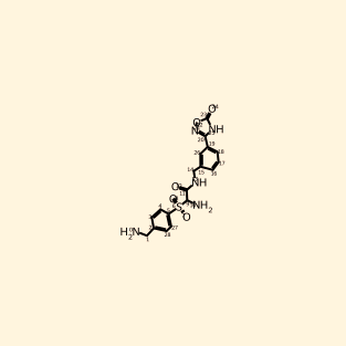 NCc1ccc(S(=O)(=O)C(N)C(=O)NCc2cccc(-c3noc(=O)[nH]3)c2)cc1